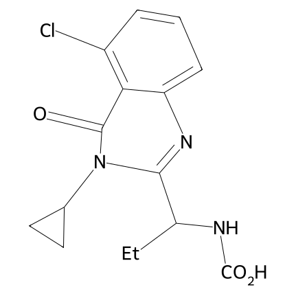 CCC(NC(=O)O)c1nc2cccc(Cl)c2c(=O)n1C1CC1